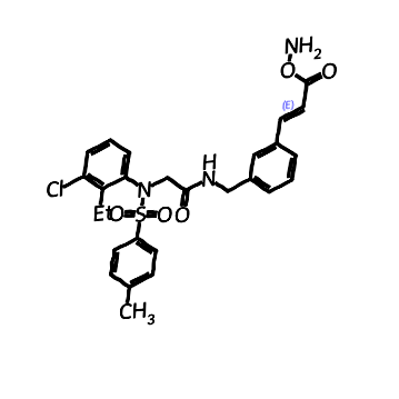 CCc1c(Cl)cccc1N(CC(=O)NCc1cccc(/C=C/C(=O)ON)c1)S(=O)(=O)c1ccc(C)cc1